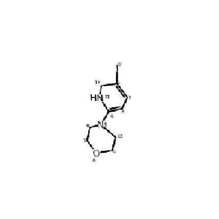 IC1=CC=C(N2CCOCC2)NC1